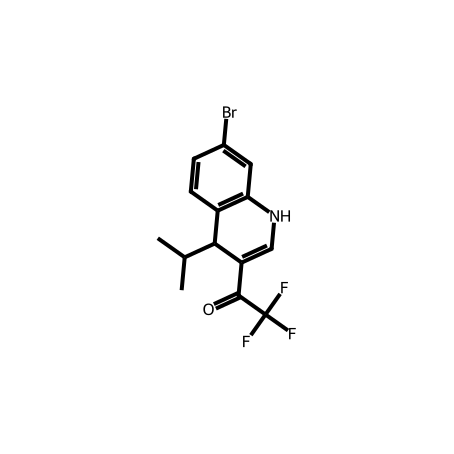 CC(C)C1C(C(=O)C(F)(F)F)=CNc2cc(Br)ccc21